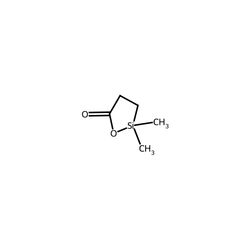 C[Si]1(C)CCC(=O)O1